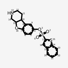 O=S(=O)(Oc1ccc2c(c1)C1CCNCC1O2)c1cc2ccccc2s1